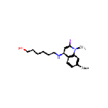 COc1ccc2c(c1)N(C)C(I)=CC2NCCCCCCO